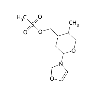 CC1COC(N2C=COC2)CC1COS(C)(=O)=O